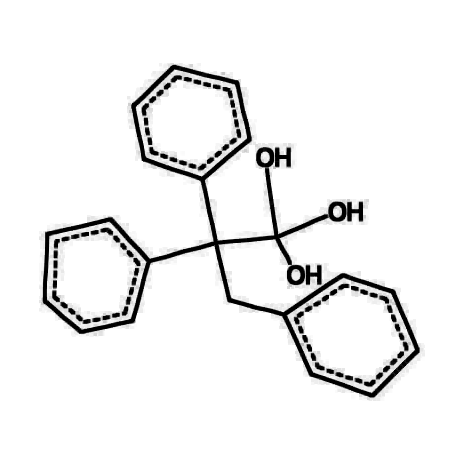 OC(O)(O)C(Cc1ccccc1)(c1ccccc1)c1ccccc1